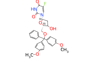 COc1ccc(C(OC[C@@H]2O[C@H](n3cc(F)c(=O)[nH]c3=O)CC2O)(c2ccccc2)c2ccc(OC)cc2)cc1